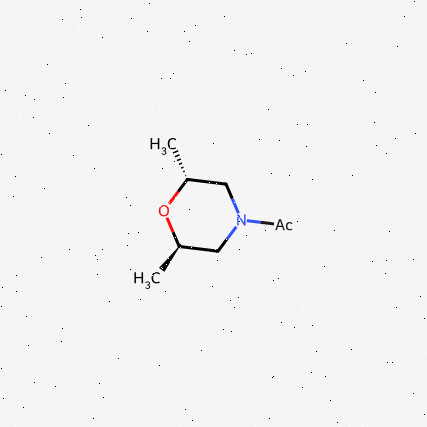 CC(=O)N1C[C@@H](C)O[C@H](C)C1